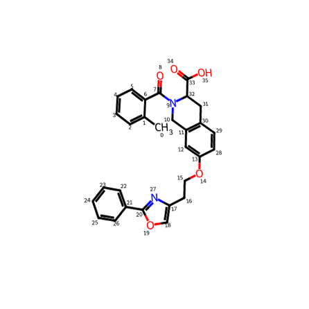 Cc1ccccc1C(=O)N1Cc2cc(OCCc3coc(-c4ccccc4)n3)ccc2CC1C(=O)O